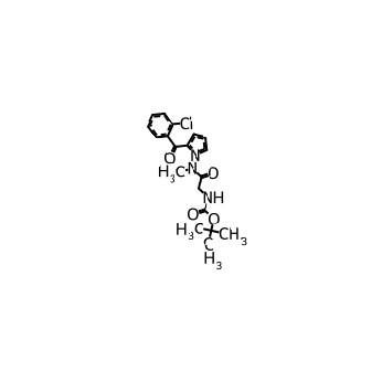 CN(C(=O)CNC(=O)OC(C)(C)C)n1cccc1C(=O)c1ccccc1Cl